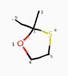 [CH2]C1(C)OCCS1